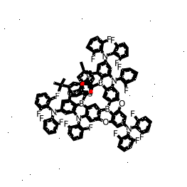 Cc1ccc2sc3c(c2c1)Oc1cc(N(c2c(F)cccc2F)c2c(F)cccc2F)cc2c1B3c1cc3c(cc1N2c1c(F)cccc1F)Oc1cc(N(c2c(F)cccc2F)c2c(F)cccc2F)cc2c1B3c1cc3c(cc1O2)N(c1c(F)cccc1F)c1cc(N(c2c(F)cccc2F)c2c(F)cccc2F)cc2c1B3c1sc3ccc(C(C)(C)C)cc3c1O2